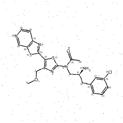 COCc1nc(N(C[C@@H](N)Cc2cccc(Cl)c2)C(C)=O)sc1-c1nc2ccncc2s1